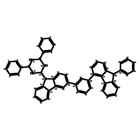 c1ccc(C2NC(c3ccccc3)NC(n3c4ccccc4c4cc(-c5cccc(-c6cccc7c6c6ccccc6n7-c6ccccc6)c5)ccc43)N2)cc1